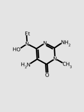 CCN(O)c1nc(N)n(C)c(=O)c1N